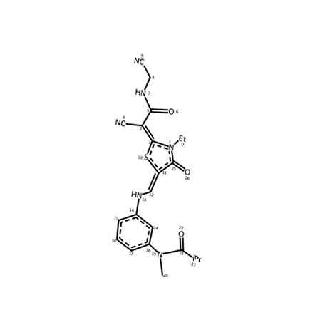 CCn1c(=C(C#N)C(=O)NCC#N)sc(=CNc2cccc(N(C)C(=O)C(C)C)c2)c1=O